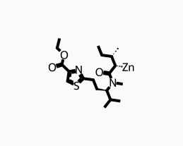 CCOC(=O)c1csc(CC[C@H](C(C)C)N(C)C(=O)[C@@H]([Zn])[C@@H](C)CC)n1